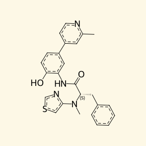 Cc1cc(-c2ccc(O)c(NC(=O)[C@H](Cc3ccccc3)N(C)c3cscn3)c2)ccn1